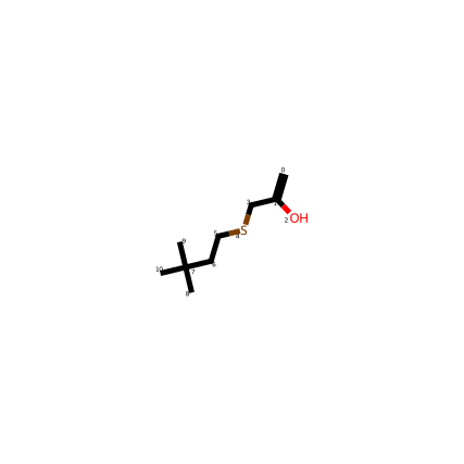 C=C(O)CSCCC(C)(C)C